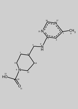 Cc1cc(NCC2CCN(C(=O)O)CC2)ncn1